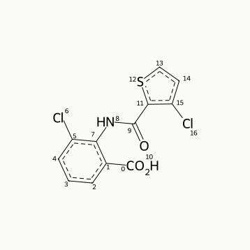 O=C(O)c1cccc(Cl)c1NC(=O)c1sccc1Cl